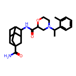 Cc1ccccc1C(C)N1CCOC(C(=O)NC2C3CC4CC2CC(C(N)=O)(C4)C3)C1